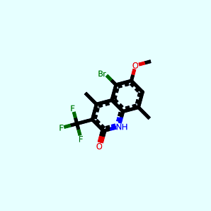 COc1cc(C)c2[nH]c(=O)c(C(F)(F)F)c(C)c2c1Br